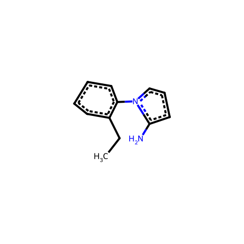 CCc1ccccc1-n1cccc1N